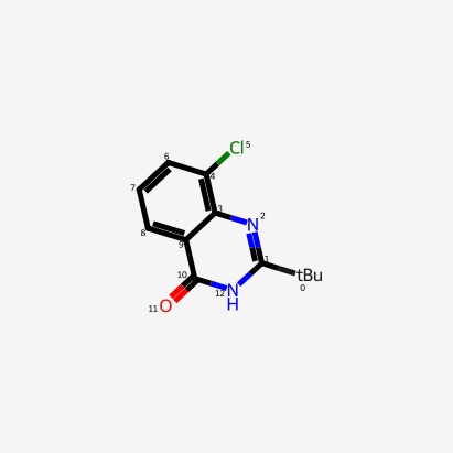 CC(C)(C)c1nc2c(Cl)cccc2c(=O)[nH]1